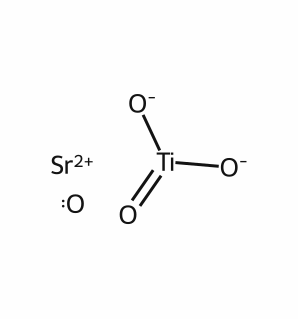 [O].[O]=[Ti]([O-])[O-].[Sr+2]